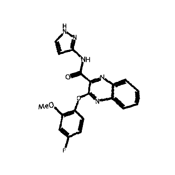 COc1cc(F)ccc1Oc1nc2ccccc2nc1C(=O)Nc1cc[nH]n1